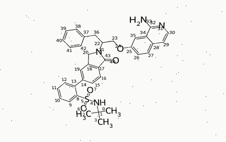 CC(C)(C)NS(=O)(=O)c1ccccc1-c1ccc2c(c1)CN(C(COc1ccc3ccnc(N)c3c1)Cc1ccccc1)C2=O